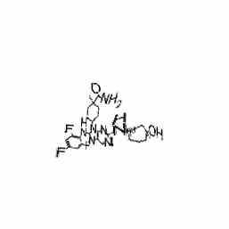 CC1(C(N)=O)CCC(n2c(Nc3c(F)cc(F)cc3F)nc3cnc(N[C@@H]4CCC[C@H](O)C4)nc32)CC1